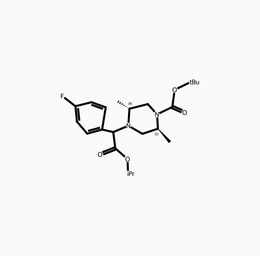 CC(C)OC(=O)C(c1ccc(F)cc1)N1C[C@H](C)N(C(=O)OC(C)(C)C)C[C@H]1C